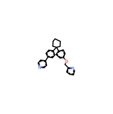 c1ccc(COc2ccc(C3(c4ccc(-c5ccncc5)cc4)CCCCC3)cc2)nc1